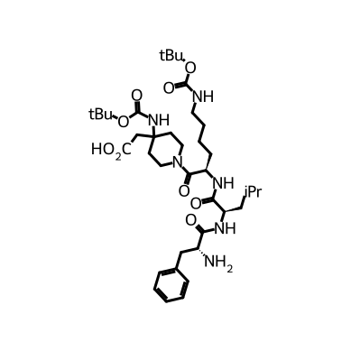 CC(C)C[C@@H](NC(=O)[C@H](N)Cc1ccccc1)C(=O)N[C@H](CCCCNC(=O)OC(C)(C)C)C(=O)N1CCC(CC(=O)O)(NC(=O)OC(C)(C)C)CC1